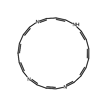 C1=CC=CNC=CC=NC=CC=CC=CN=CC=CN=CC=C1